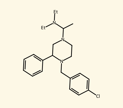 CCN(CC)C(C)N1CCN(Cc2ccc(Cl)cc2)C(c2ccccc2)C1